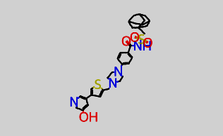 O=C(NS(=O)(=O)CC12CC3CC(CC(C3)C1)C2)c1ccc(N2CCN(Cc3cc(-c4cncc(O)c4)cs3)CC2)cc1